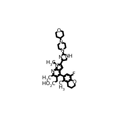 Cc1nc2c(cc(C3=NC(N4CCN(C5CCOCC5)CC4)NC3)n2C)c(-c2cc(F)c3c(c2C)CCCO3)c1CC(=O)O